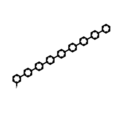 Fc1[c]ccc(-c2ccc(-c3ccc(-c4ccc(-c5ccc(-c6ccc(-c7ccc(-c8ccc(-c9ccccc9)cc8)cc7)cc6)cc5)cc4)cc3)cc2)c1